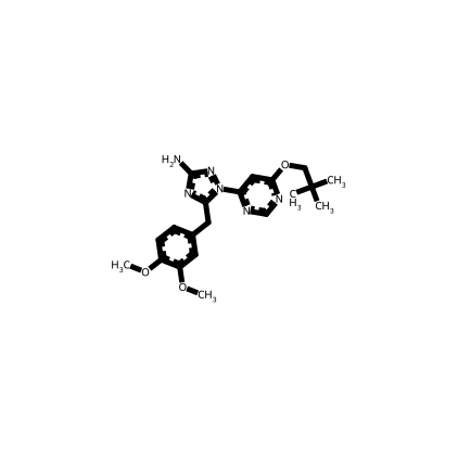 COc1ccc(Cc2nc(N)nn2-c2cc(OCC(C)(C)C)ncn2)cc1OC